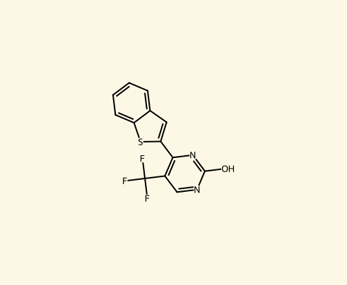 Oc1ncc(C(F)(F)F)c(-c2cc3ccccc3s2)n1